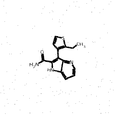 CCc1sccc1-c1c(C(N)=O)[nH]c2cccnc12